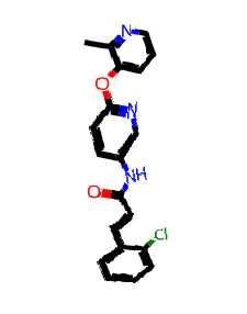 Cc1ncccc1Oc1ccc(NC(=O)/C=C/c2ccccc2Cl)cn1